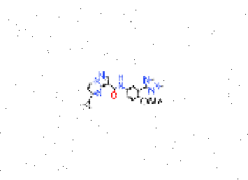 COc1ccc(NC(=O)c2cnn3ccc(C4CC4)nc23)cc1-c1ncn(C)n1